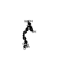 O=C1CCC(N2C(=O)c3ccc(N4CCN(CCCN5CCN(c6ccc(C(=O)c7c(-c8ccc(B(O)O)cc8)sc8cc(O)ccc78)cc6)CC5)CC4)cc3C2=O)C(=O)N1